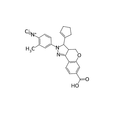 [C-]#[N+]c1ccc(N2N=C3c4ccc(C(=O)O)cc4OCC3C2C2=CCCC2)cc1C